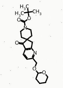 CC(C)(C)OC(=O)N1CCC2(CC1)Cc1nc(COC3CCCCO3)ccc1C2=O